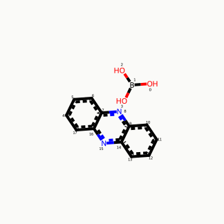 OB(O)O.c1ccc2nc3ccccc3nc2c1